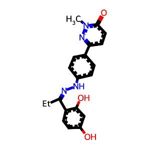 CCC(=NNc1ccc(-c2ccc(=O)n(C)n2)cc1)c1ccc(O)cc1O